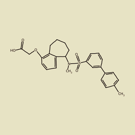 Cc1ccc(-c2cccc(S(=O)(=O)N(C)C3CCCCc4c(OCC(=O)O)cccc43)c2)cc1